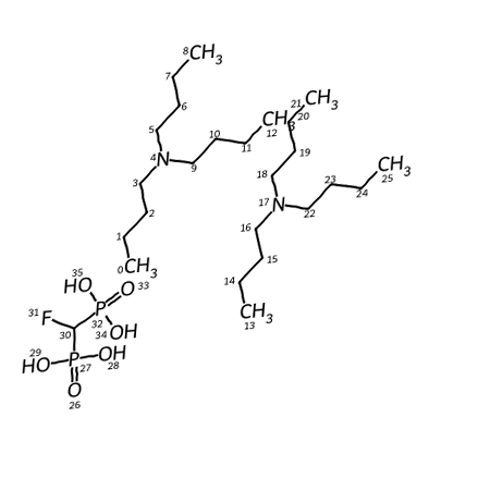 CCCCN(CCCC)CCCC.CCCCN(CCCC)CCCC.O=P(O)(O)C(F)P(=O)(O)O